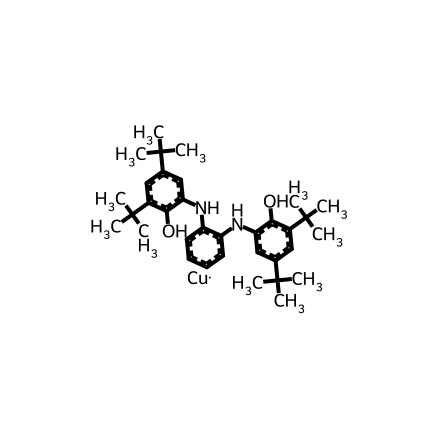 CC(C)(C)c1cc(Nc2ccccc2Nc2cc(C(C)(C)C)cc(C(C)(C)C)c2O)c(O)c(C(C)(C)C)c1.[Cu]